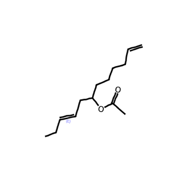 C=CCCCCC(C/C=C/CC)OC(C)=O